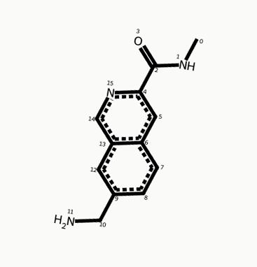 CNC(=O)c1cc2ccc(CN)cc2cn1